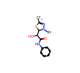 CC(C)N1N=C(C(F)(F)F)SC1C(O)C(=O)Nc1ccccc1